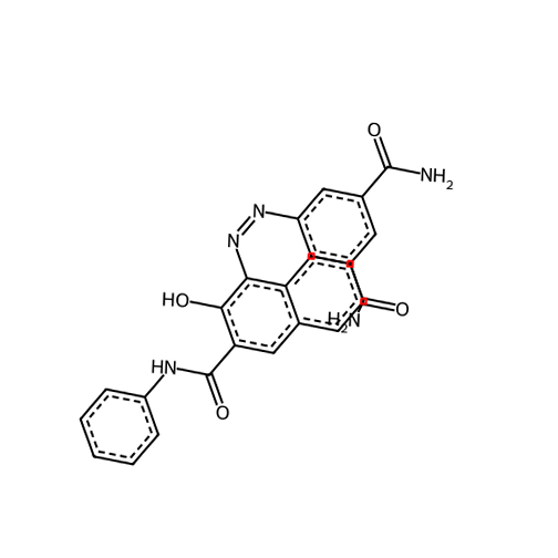 NC(=O)c1cc(/N=N\c2c(O)c(C(=O)Nc3ccccc3)cc3ccccc23)cc(C(N)=O)c1